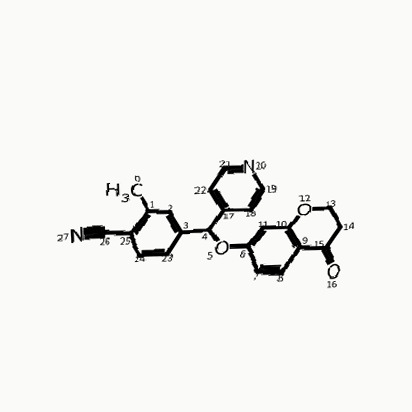 Cc1cc(C(Oc2ccc3c(c2)OCCC3=O)c2ccncc2)ccc1C#N